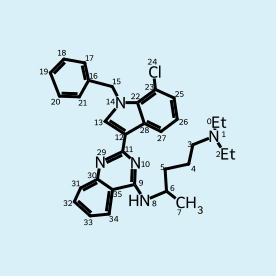 CCN(CC)CCCC(C)Nc1nc(-c2cn(Cc3ccccc3)c3c(Cl)cccc23)nc2ccccc12